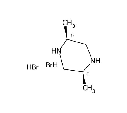 Br.Br.C[C@H]1CN[C@@H](C)CN1